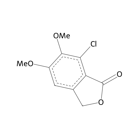 COc1cc2c(c(Cl)c1OC)C(=O)OC2